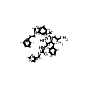 CC(C)CN(C(Cc1ccccc1)C(O)CNC(=O)OCc1cncs1)S(=O)(=O)c1ccc2ncn(CCc3ccccc3)c2c1